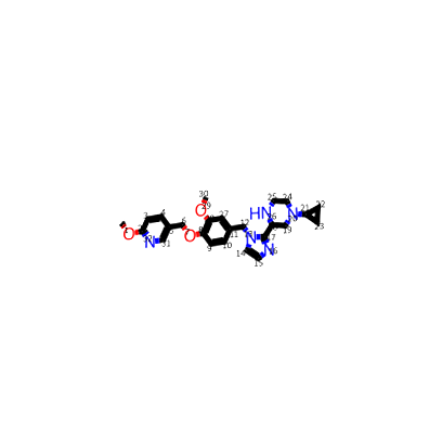 COc1ccc(COc2ccc(Cn3ccnc3C3CN(C4CC4)CCN3)cc2OC)cn1